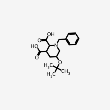 CC(C)(C)OC1CC(C(=O)O)C(C(=O)O)N(Cc2ccccc2)C1